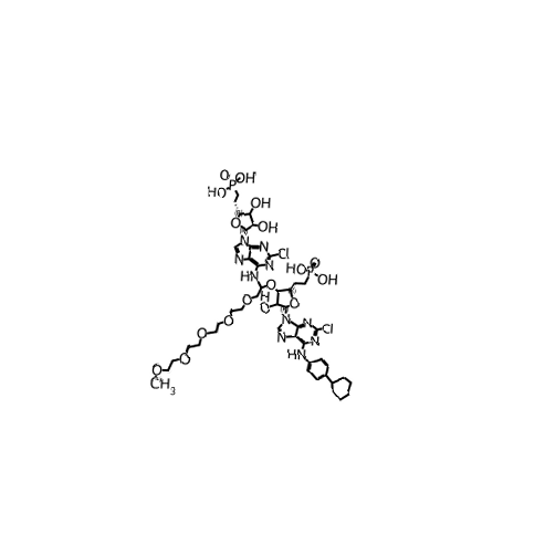 COCCOCCOCCOCCOCC(Nc1nc(Cl)nc2c1ncn2[C@@H]1O[C@H](CCP(=O)(O)O)C(O)C1O)OC1C(O)[C@H](n2cnc3c(Nc4ccc(C5CCCCC5)cc4)nc(Cl)nc32)O[C@@H]1CCP(=O)(O)O